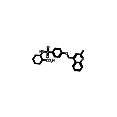 Cc1cc(COc2ccc(S(=O)(=O)NC3CCCCC3C(=O)O)cc2)c2ccccc2n1